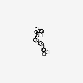 O=C(NCC1CCCN(C2CCN(Cc3ccc(Cl)c(Cl)c3)CC2)C1)c1ccccc1Cl